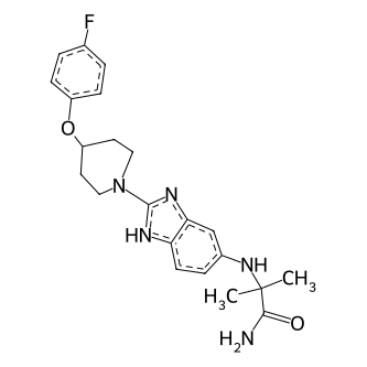 CC(C)(Nc1ccc2[nH]c(N3CCC(Oc4ccc(F)cc4)CC3)nc2c1)C(N)=O